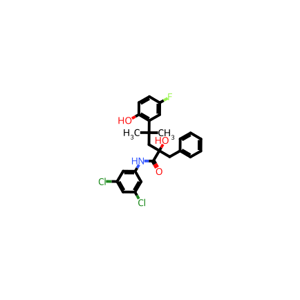 CC(C)(CC(O)(Cc1ccccc1)C(=O)Nc1cc(Cl)cc(Cl)c1)c1cc(F)ccc1O